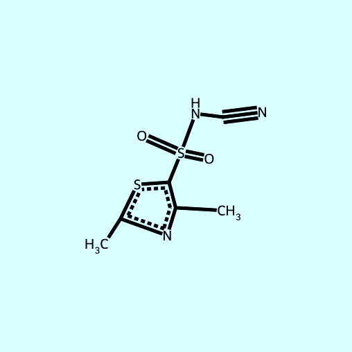 Cc1nc(C)c(S(=O)(=O)NC#N)s1